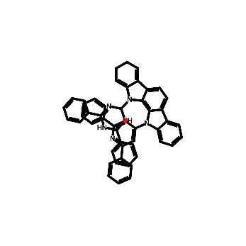 C1=c2c(n(C3N=C(c4ccccc4)NC(c4ccccc4)N3)c3c2ccc2c4ccccc4n(-c4cc(-c5ccccc5)nc(-c5ccccc5)c4)c23)=CCC1